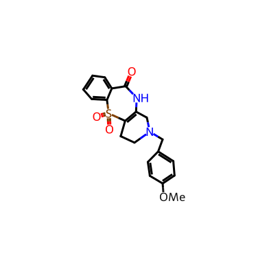 COc1ccc(CN2CCC3=C(C2)NC(=O)c2ccccc2S3(=O)=O)cc1